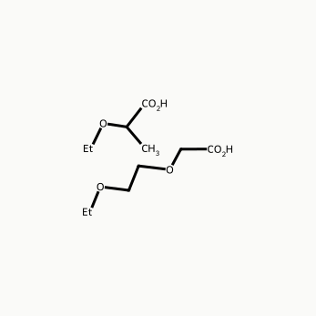 CCOC(C)C(=O)O.CCOCCOCC(=O)O